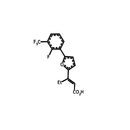 CC/C(=C\C(=O)O)c1ccc(-c2cccc(C(F)(F)F)c2F)o1